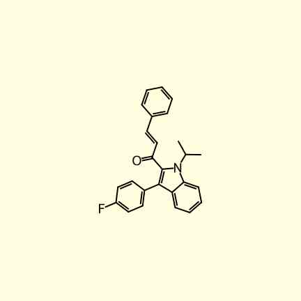 CC(C)n1c(C(=O)C=Cc2ccccc2)c(-c2ccc(F)cc2)c2ccccc21